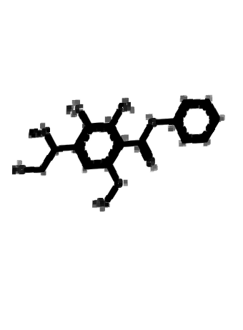 CCCCOc1cc(C(CO)OC)c(C(F)(F)F)c(C)c1C(=O)Oc1ccccc1